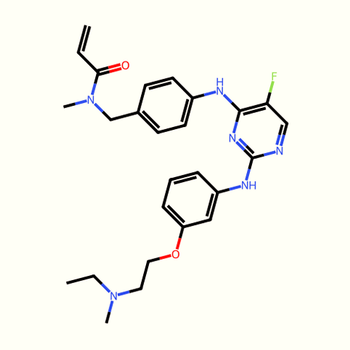 C=CC(=O)N(C)Cc1ccc(Nc2nc(Nc3cccc(OCCN(C)CC)c3)ncc2F)cc1